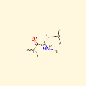 C=C(C)C(=O)[C@H](CC(C)C)NC